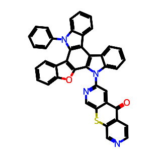 O=c1c2ccncc2sc2cnc(-n3c4ccccc4c4c5c6ccccc6n(-c6ccccc6)c5c5c6ccccc6oc5c43)cc12